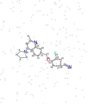 Cc1cc(N2CCCC2)c2ccc(COc3ccc(C#N)cc3F)cc2n1